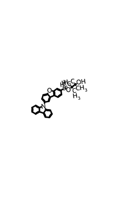 CC(C)(O)C(C)(C)OBc1ccc2c(c1)oc1ccc(-n3c4ccccc4c4ccccc43)cc12